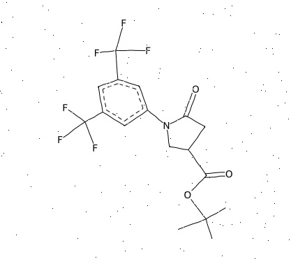 CC(C)(C)OC(=O)C1CC(=O)N(c2cc(C(F)(F)F)cc(C(F)(F)F)c2)C1